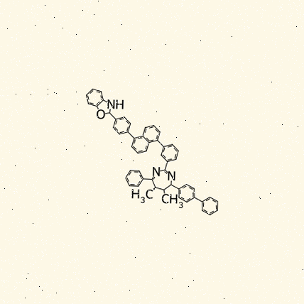 CC1C(c2ccc(-c3ccccc3)cc2)N=C(c2cccc(-c3cccc4c(-c5ccc(C6Nc7ccccc7O6)cc5)cccc34)c2)N=C(c2ccccc2)[C@@H]1C